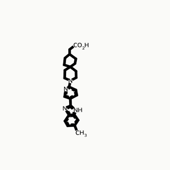 Cc1ccc2nc(-c3ccc(N4CCC5(CCC(CC(=O)O)CC5)CC4)nc3)[nH]c2c1